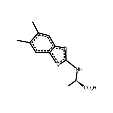 Cc1cc2nc(N[C@H](C)C(=O)O)sc2cc1C